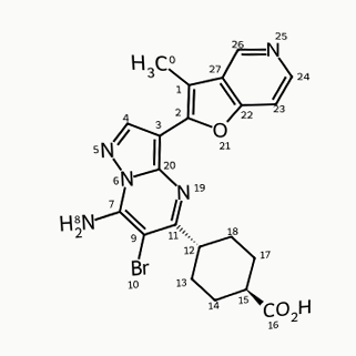 Cc1c(-c2cnn3c(N)c(Br)c([C@H]4CC[C@H](C(=O)O)CC4)nc23)oc2ccncc12